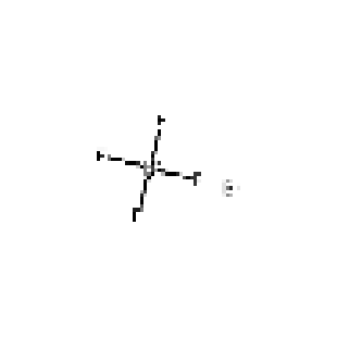 F[B-](F)(F)F.[B]